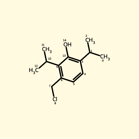 CC(C)c1ccc(CCl)c(C(C)C)c1O